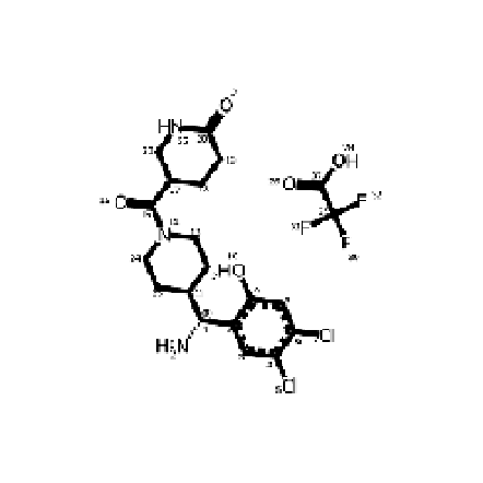 N[C@@H](c1cc(Cl)c(Cl)cc1O)C1CCN(C(=O)C2CCC(=O)NC2)CC1.O=C(O)C(F)(F)F